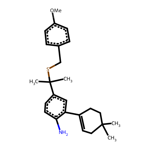 COc1ccc(CSC(C)(C)c2ccc(N)c(C3=CCC(C)(C)CC3)c2)cc1